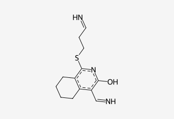 N=CCCSc1nc(O)c(C=N)c2c1CCCC2